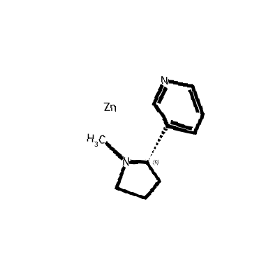 CN1CCC[C@H]1c1cccnc1.[Zn]